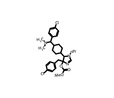 CCCN1C=NC(Cc2ccc(Cl)cc2)(OC(=O)OC)C1C1CCC(C(c2ccc(Cl)cc2)N(C)C)CC1